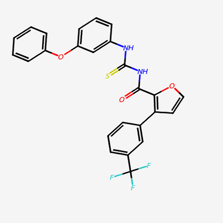 O=C(NC(=S)Nc1cccc(Oc2ccccc2)c1)c1occc1-c1cccc(C(F)(F)F)c1